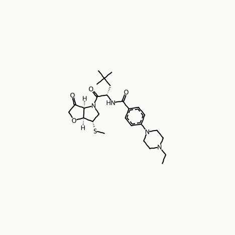 CCN1CCN(c2ccc(C(=O)N[C@@H](CC(C)(C)C)C(=O)N3C[C@H](SC)[C@H]4OCC(=O)[C@H]43)cc2)CC1